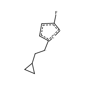 Fc1ccc([CH]CC2CC2)cc1